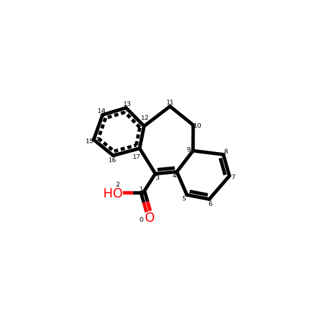 O=C(O)C1=C2C=CC=CC2CCc2ccccc21